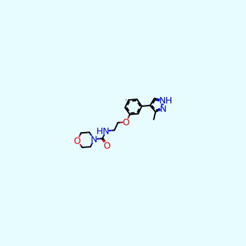 Cc1n[nH]cc1-c1c[c]cc(OCCNC(=O)N2CCOCC2)c1